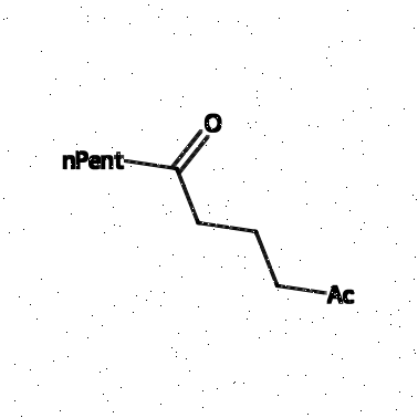 CCCCCC(=O)CCCC(C)=O